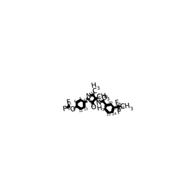 CC1=NN(c2ccc(OC(F)F)cc2)C(=O)C1(C)NC(=O)c1cccc(C(C)(F)F)c1